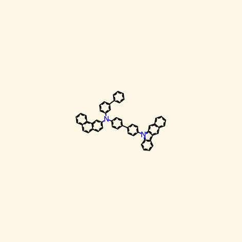 c1ccc(-c2cccc(N(c3ccc(-c4ccc(-n5c6ccccc6c6cc7ccccc7cc65)cc4)cc3)c3ccc4ccc5ccccc5c4c3)c2)cc1